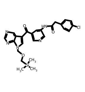 C[Si](C)(C)COCn1cc(C(=O)c2cncc(NC(=O)Cc3ccc(Cl)cc3)c2)c2cncnc21